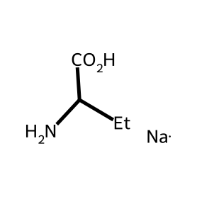 CCC(N)C(=O)O.[Na]